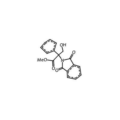 COC(=O)C(CO)(c1ccccc1)N1C(=O)c2ccccc2C1=O